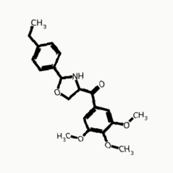 CCc1ccc(C2NC(C(=O)c3cc(OC)c(OC)c(OC)c3)CO2)cc1